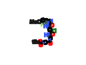 COc1ccc(Cc2cnc(C(=O)Nc3ccc(C(=O)N[C@@H]4CCN(C(=O)C5CCN(C(=O)OC(C)(C)C)CC5)C4)c(Cl)c3)[nH]2)c(F)c1F